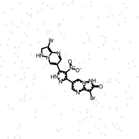 O=c1[nH]n2cc(-c3n[nH]c(C4=CN5NCC(Br)=C5N=C4)c3[N+](=O)[O-])cnc2c1Br